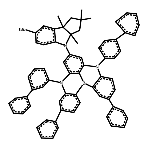 CC1(C)CC2(C)c3cc(C(C)(C)C)ccc3N(c3cc4c5c(c3)N(c3cccc(-c6ccccc6)c3)c3cc(-c6ccccc6)ccc3B5c3cc(-c5ccccc5)ccc3N4c3ccc(-c4ccccc4)cc3)C2(C)C1